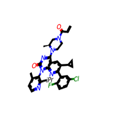 C=CC(=O)N1CCN(c2nc(=O)n(-c3c(C)ccnc3C(C)C)c3nc(-c4cc(Cl)ccc4F)c(C4CC4)cc23)[C@@H](C)C1